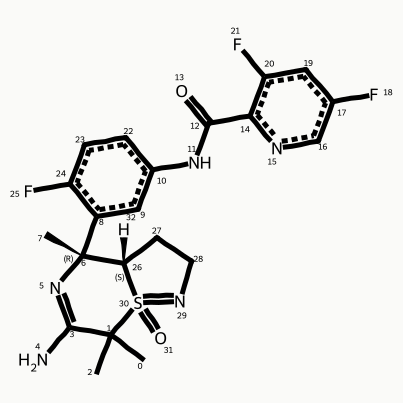 CC1(C)C(N)=N[C@](C)(c2cc(NC(=O)c3ncc(F)cc3F)ccc2F)[C@@H]2CCN=S21=O